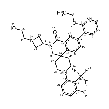 CCOc1ncccc1-c1ccc2c(n1)C(=O)N(C1CN(CCO)C1)CC21CCN(c2cccc(Cl)c2C(F)(F)F)CC1